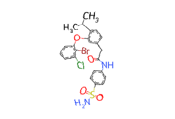 CC(C)c1ccc(CC(=O)Nc2ccc(S(N)(=O)=O)cc2)cc1Oc1cccc(Cl)c1Br